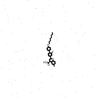 CCCCCCCCOc1ccc(-c2ccc(-c3cc(C(=O)O)c4cc(C)ccc4n3)cc2F)cc1